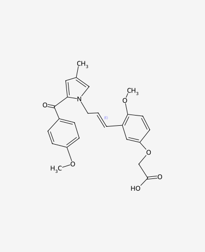 COc1ccc(C(=O)c2cc(C)cn2C/C=C/c2cc(OCC(=O)O)ccc2OC)cc1